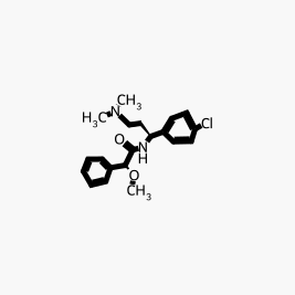 CO[C@@H](C(=O)N[C@@H](CCN(C)C)c1ccc(Cl)cc1)c1ccccc1